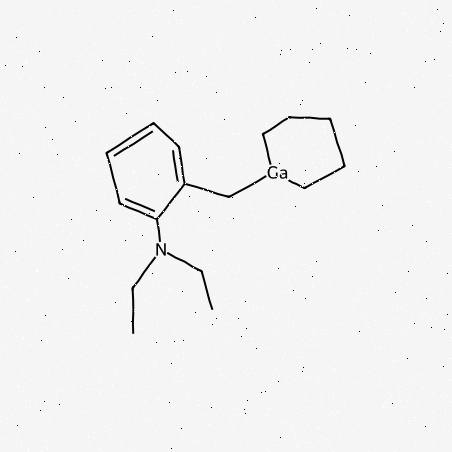 CCN(CC)c1ccccc1[CH2][Ga]1[CH2]CCC[CH2]1